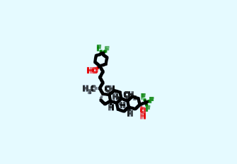 C[C@H](CCCC1(O)CCC(F)(F)CC1)[C@H]1CC[C@H]2[C@@H]3CC[C@H]4C[C@](O)(C(F)(F)F)CC[C@]4(C)[C@H]3CC[C@]12C